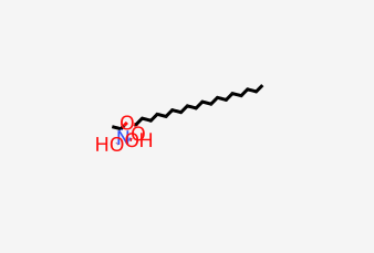 CCCCCCCCCCCCCCCCCC(=O)OC(C)N(O)O